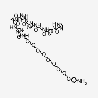 Cn1cc(NC(=O)c2nccn2C)cc1C(=O)NCCC(=O)Nc1cn(C)c(C(=O)Nc2cc(C(=O)NC3(CC(=O)Nc4cn(C)c(C(=O)NCCOCCOCCOCCOCCOCCOCCOCCOCCOc5ccc(N)cc5)n4)CC3)n(C)c2)n1